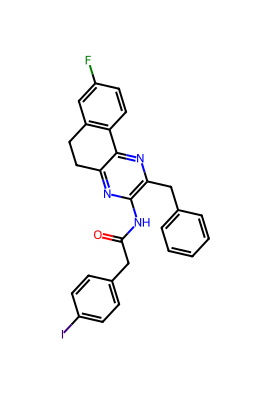 O=C(Cc1ccc(I)cc1)Nc1nc2c(nc1Cc1ccccc1)-c1ccc(F)cc1CC2